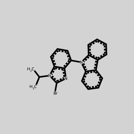 CC(C)n1c(Br)nc2c(-n3c4ccccc4c4ccccc43)cccc21